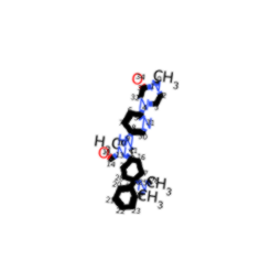 CN1CCN(c2ccc(N(C)C[C@]3(NC=O)CC[C@@](c4ccccc4)(N(C)C)CC3)cn2)CC1=O